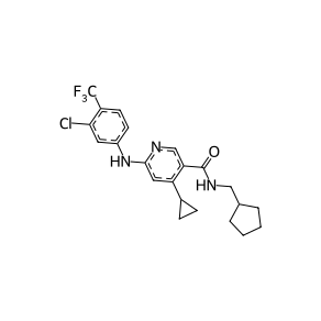 O=C(NCC1CCCC1)c1cnc(Nc2ccc(C(F)(F)F)c(Cl)c2)cc1C1CC1